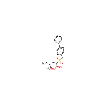 CC(C)CC(C(=O)O)S(=O)(=O)Cc1ccc(-c2ccccc2)cc1